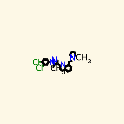 Cc1c(-c2ccc3cccc(CCN4CCC[C@H]4C)c3n2)cnn1-c1ccc(Cl)c(Cl)c1